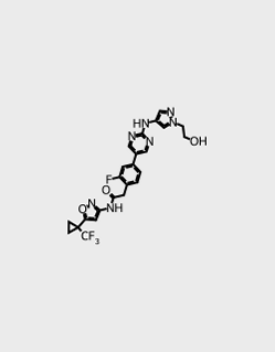 O=C(Cc1ccc(-c2cnc(Nc3cnn(CCO)c3)nc2)cc1F)Nc1cc(C2(C(F)(F)F)CC2)on1